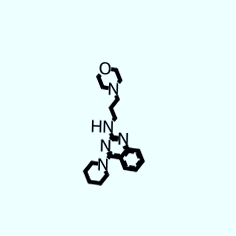 c1ccc2c(N3CCCCC3)nc(NCCCN3CCOCC3)nc2c1